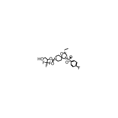 CC[C@@H]1CN(S(=O)(=O)c2ccc(F)cc2)CC2(CCN(C(=O)OC(CO)C(F)(F)F)CC2)O1